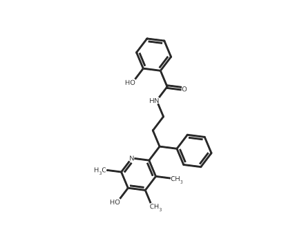 Cc1nc(C(CCNC(=O)c2ccccc2O)c2ccccc2)c(C)c(C)c1O